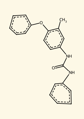 Cc1cc(NC(=O)Nc2ccccc2)ccc1Oc1ccccc1